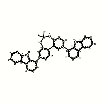 CC1(C)Oc2cc(-c3cccc4c3oc3ccccc34)ccc2-c2cc(-c3cccc4c3oc3ccccc34)ccc2O1